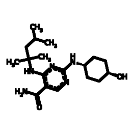 CC(C)CC(C)(C)Nc1nc(N[C@H]2CC[C@H](O)CC2)ncc1C(N)=O